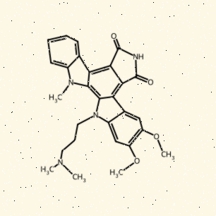 COc1cc2c3c4c(c5c6ccccc6n(C)c5c3n(CCCN(C)C)c2cc1OC)C(=O)NC4=O